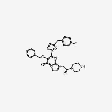 O=C(Cn1ccn2c(=O)c(OCc3ccccc3)c(-c3ncc(Cc4ccc(F)cc4)s3)nc12)N1CCNCC1